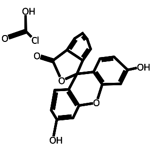 O=C(O)Cl.O=C1OC2(c3ccc(O)cc3Oc3cc(O)ccc32)c2ccccc21